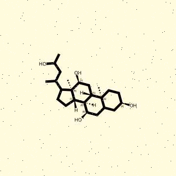 CC(O)CC(C)C1CC[C@H]2[C@@H]3[C@H](O)CC4C[C@H](O)CC[C@]4(C)[C@H]3C[C@H](O)[C@]12C